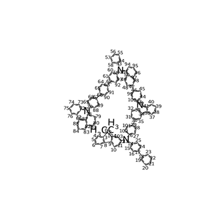 CC1(C)c2ccccc2-c2ccc(N(c3ccc(-c4ccccc4)cc3)c3ccc(-c4ccc5c(c4)c4ccccc4n5-c4ccc(-c5ccc6c(N(c7ccccc7)c7ccc(-c8ccc(-c9ccc(N(c%10ccccc%10)c%10cccc%11ccccc%10%11)cc9)cc8)cc7)cccc6c5)cc4)cc3)cc21